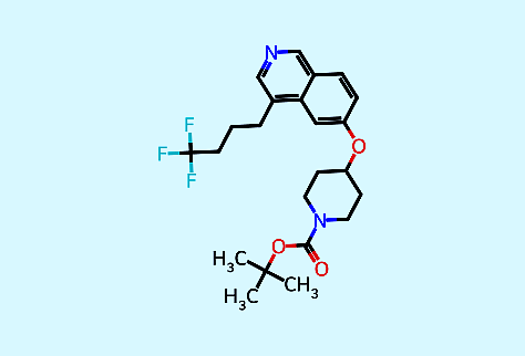 CC(C)(C)OC(=O)N1CCC(Oc2ccc3cncc(CCCC(F)(F)F)c3c2)CC1